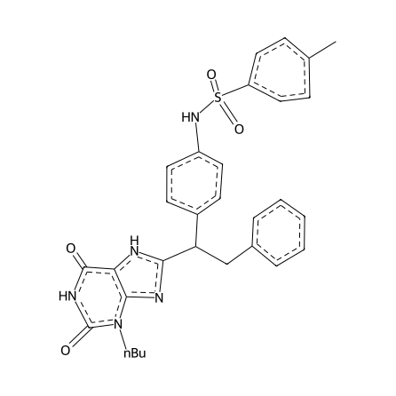 CCCCn1c(=O)[nH]c(=O)c2[nH]c(C(Cc3ccccc3)c3ccc(NS(=O)(=O)c4ccc(C)cc4)cc3)nc21